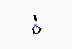 [C]#Cn1[c]ccc1